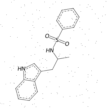 CC(Cc1c[nH]c2ccccc12)NS(=O)(=O)c1ccccc1